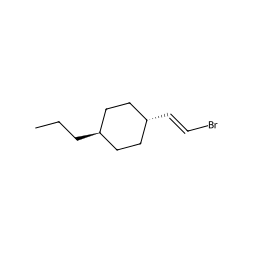 CCC[C@H]1CC[C@H](/C=C/Br)CC1